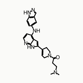 CN(C)CCC(=O)N1CC=C(c2cc3c(Nc4ccc5[nH]ncc5c4)ccnc3[nH]2)CC1